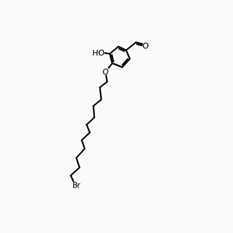 O=Cc1ccc(OCCCCCCCCCCCCBr)c(O)c1